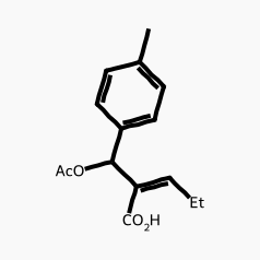 CCC=C(C(=O)O)C(OC(C)=O)c1ccc(C)cc1